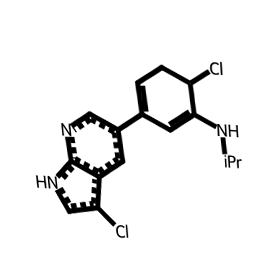 CC(C)NC1=CC(c2cnc3[nH]cc(Cl)c3c2)=CCC1Cl